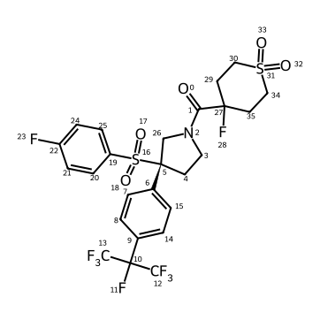 O=C(N1CC[C@](c2ccc(C(F)(C(F)(F)F)C(F)(F)F)cc2)(S(=O)(=O)c2ccc(F)cc2)C1)C1(F)CCS(=O)(=O)CC1